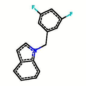 Fc1cc(F)cc(Cn2ccc3ccccc32)c1